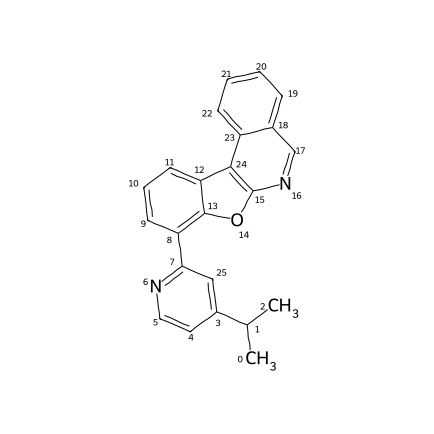 CC(C)c1ccnc(-c2cccc3c2oc2ncc4ccccc4c23)c1